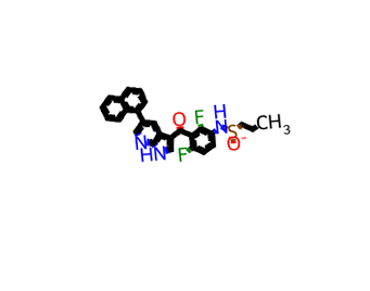 CCC[S+]([O-])Nc1ccc(F)c(C(=O)c2c[nH]c3ncc(-c4cccc5ccccc45)cc23)c1F